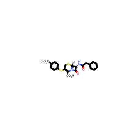 CCOC(=O)c1ccc(SC2=C(C(=O)O)N3C(=O)[C@@H](NC(=O)Cc4ccccc4)[C@H]3SC2)cc1